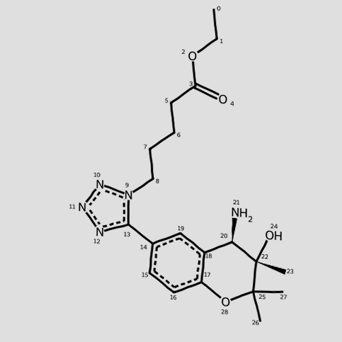 CCOC(=O)CCCCn1nnnc1-c1ccc2c(c1)[C@@H](N)[C@](C)(O)C(C)(C)O2